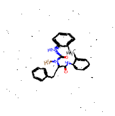 Cc1ccccc1NC(=O)C(Cc1ccccc1)N(S)C(=O)Nc1ccccc1[N+](=O)[O-]